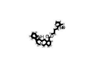 CC1(N=O)C=CSC1CCCCOC(=O)C1CCCC2CN3CCc4c([nH]c5ccccc45)C3CC21